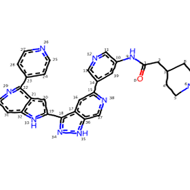 O=C(CC1CCNCC1)Nc1cncc(-c2cc3c(-c4cc5c(-c6ccncc6)nccc5[nH]4)n[nH]c3cn2)c1